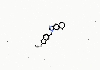 CNC1Cc2ccc(Cn3cnc4cc5c(cc43)CCCC5)cc2C1